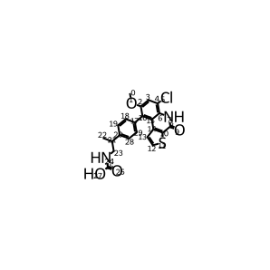 COc1cc(Cl)c2[nH]c(=O)c3sccc3c2c1-c1ccc(C(C)CNC(=O)O)cc1